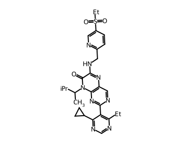 CCc1ncnc(C2CC2)c1-c1ncc2nc(NCc3ccc(S(=O)(=O)CC)cn3)c(=O)n(C(C)C(C)C)c2n1